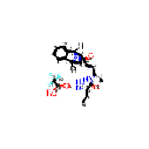 CC[C@@H](/C=C/C(=O)N1[C@@H]2CC[C@H]1c1ccccc12)NC(=O)[C@@H](N)CC.O=C(O)C(F)(F)F